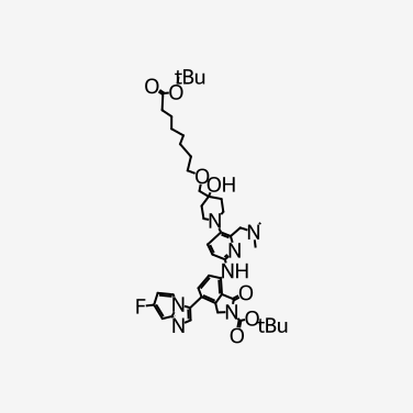 CN(C)Cc1nc(Nc2ccc(-c3cnc4cc(F)ccn34)c3c2C(=O)N(C(=O)OC(C)(C)C)C3)ccc1N1CCC(O)(COCCCCCCCC(=O)OC(C)(C)C)CC1